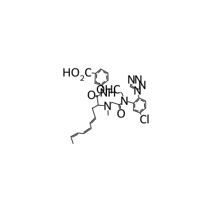 C\C=C/C=C\C=C\CC(C(=O)Nc1cccc(C(=O)O)c1)N(C)CC(=O)N(CC=O)c1cc(Cl)ccc1-n1cnnn1